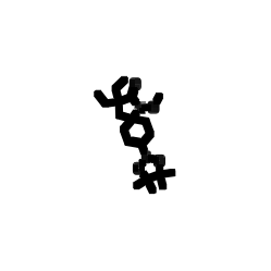 CCC1(CC)CC2(CC=C(B3OC(C)(C)C(C)(C)O3)CC2)N(OC)C1=O